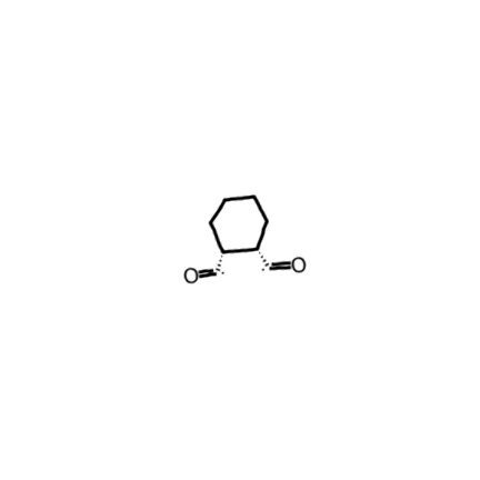 O=[C][C@@H]1CCCC[C@@H]1[C]=O